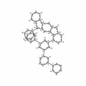 c1ccc(-c2cccc(-c3nc(-c4ccccc4)nc(-c4cccc5oc6cc7c8ccccc8n(-c8ccccc8)c7cc6c45)n3)c2)cc1